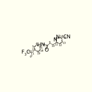 CC(c1ccc(NC(=O)CCc2ccc(C#N)nn2)cc1)C(F)(F)F